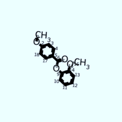 COc1ccc(C(=O)Oc2ccccc2OC)cc1